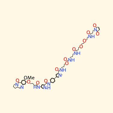 COc1cc2c(cc1OCCCC(=O)Nc1cc(C(=O)Nc3ccc(-c4cc(C(=O)NCCCOC(=O)NCCCNC(=O)CCOCCOCCNC(=O)CCN5C(=O)C=CC5=O)n(C)c4)cc3)n(C)c1)N=CC1CCCN1C2=O